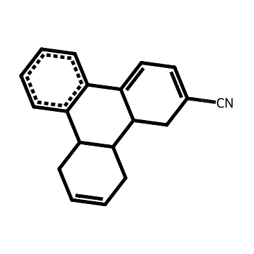 N#CC1=CC=C2c3ccccc3C3CC=CCC3C2C1